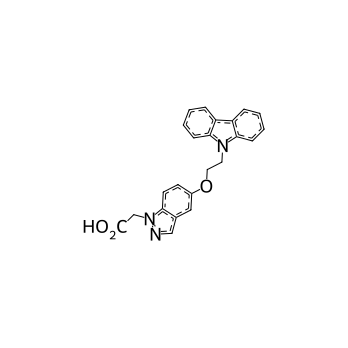 O=C(O)Cn1ncc2cc(OCCn3c4ccccc4c4ccccc43)ccc21